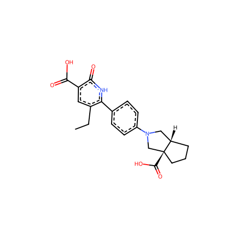 CCc1cc(C(=O)O)c(=O)[nH]c1-c1ccc(N2C[C@@H]3CCC[C@]3(C(=O)O)C2)cc1